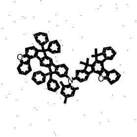 Cc1cc(C)c(N(c2ccc3c(c2)C(C)(C)c2c4c(c5c(oc6ccccc65)c2-3)-c2ccccc2C4(C)C)c2ccc3c(c2)C(c2ccccc2)(c2ccccc2)c2cc4c(cc2-3)C(c2ccccc2)(c2ccccc2)c2ccc3oc5ccccc5c3c2-4)c(C)c1